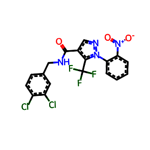 O=C(NCc1ccc(Cl)c(Cl)c1)c1cnn(-c2ccccc2[N+](=O)[O-])c1C(F)(F)F